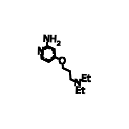 CCN(CC)CCCOc1ccnc(N)c1